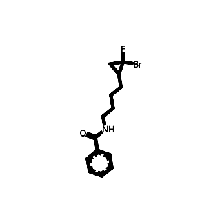 O=C(NCCCCC1CC1(F)Br)c1ccccc1